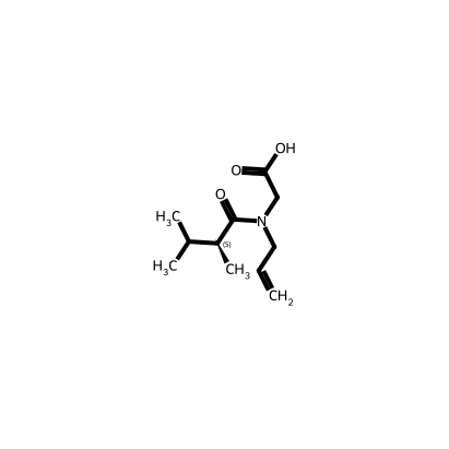 C=CCN(CC(=O)O)C(=O)[C@@H](C)C(C)C